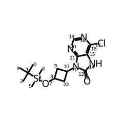 CC(C)(C)[Si](C)(C)OC1CC(n2c(=O)[nH]c3c(Cl)ncnc32)C1